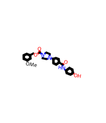 COc1cccc(COC(=O)N2CCN(c3ccc(C(=O)Nc4ccc(O)cc4)cc3)CC2)c1